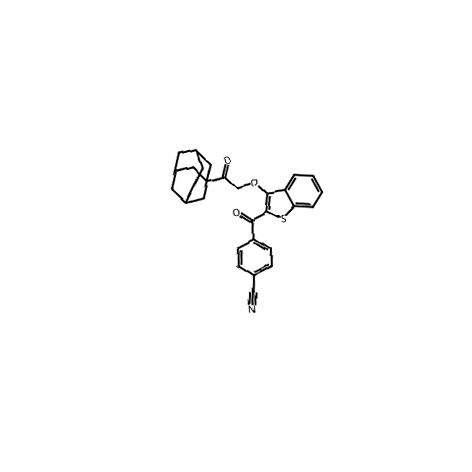 N#Cc1ccc(C(=O)c2sc3ccccc3c2OCC(=O)C23CC4CC(CC(C4)C2)C3)cc1